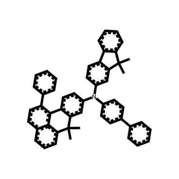 CC1(C)c2ccccc2-c2ccc(N(c3ccc(-c4ccccc4)cc3)c3ccc4c(c3)C(C)(C)c3cccc5ccc(-c6ccccc6)c-4c35)cc21